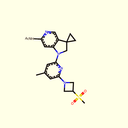 CC(=O)Nc1cc2c(cn1)C1(CC1)CN2c1cc(C)cc(N2CC(S(C)(=O)=O)C2)n1